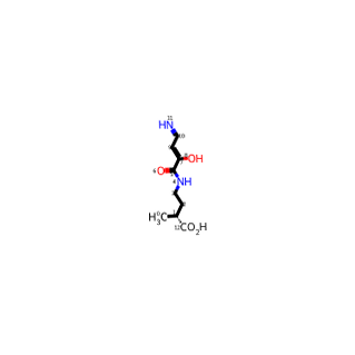 C[C@H](CCNC(=O)/C(O)=C/C=N)C(=O)O